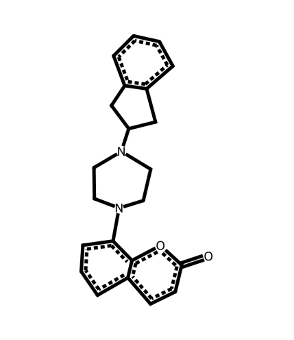 O=c1ccc2cccc(N3CCN(C4Cc5ccccc5C4)CC3)c2o1